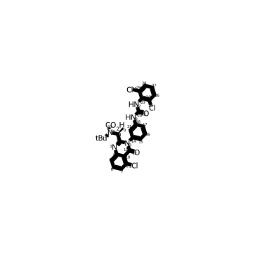 C[C@@H](c1nc2cccc(Cl)c2c(=O)n1-c1cccc(NC(=O)Nc2c(Cl)cccc2Cl)c1)N(C(=O)O)C(C)(C)C